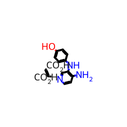 Nc1ccncc1Nc1ccc(O)cc1.O=C(O)/C=C\C(=O)O